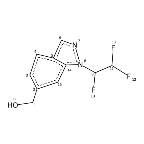 OCc1ccc2cnn(C(F)C(F)F)c2c1